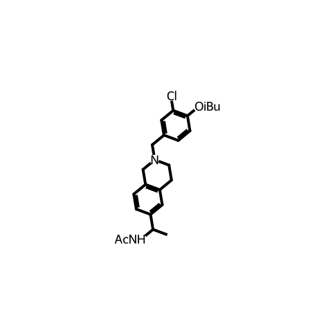 CC(=O)NC(C)c1ccc2c(c1)CCN(Cc1ccc(OCC(C)C)c(Cl)c1)C2